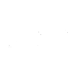 CC(C=CC1=[N+](C)CCS1)=CN1CCN(C=C(C)C=CC2=[N+](C)CCS2)CC1